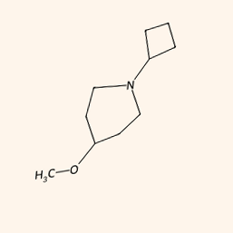 COC1CCN(C2CCC2)CC1